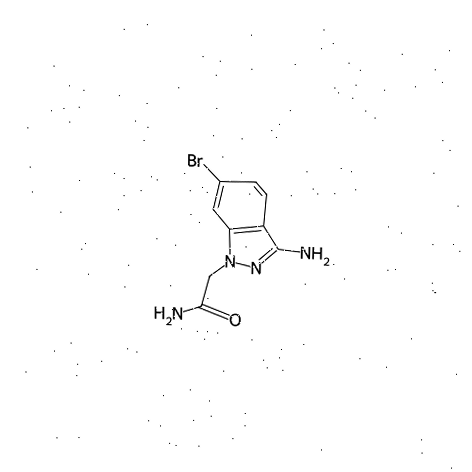 NC(=O)Cn1nc(N)c2ccc(Br)cc21